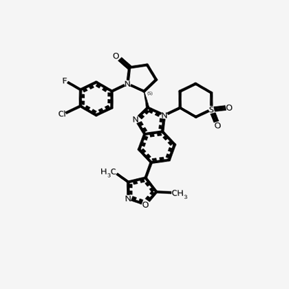 Cc1noc(C)c1-c1ccc2c(c1)nc([C@@H]1CCC(=O)N1c1ccc(Cl)c(F)c1)n2C1CCCS(=O)(=O)C1